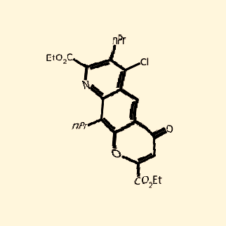 CCCc1c(C(=O)OCC)nc2c(CCC)c3oc(C(=O)OCC)cc(=O)c3cc2c1Cl